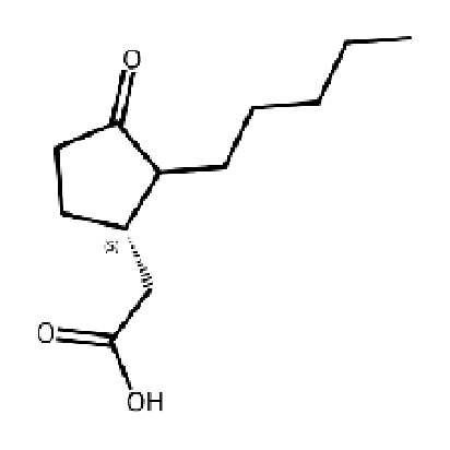 CCCCCC1C(=O)CC[C@H]1CC(=O)O